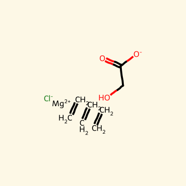 C=C.C=C.C=C.O=C([O-])CO.[Cl-].[Mg+2]